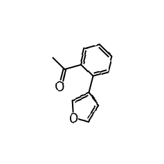 CC(=O)c1ccccc1-c1ccoc1